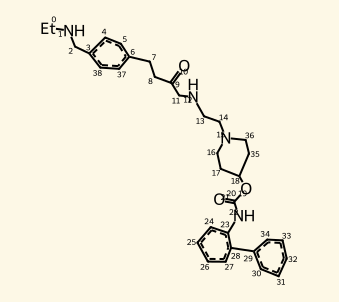 CCNCc1ccc(CCC(=O)CNCCN2CCC(OC(=O)Nc3ccccc3-c3ccccc3)CC2)cc1